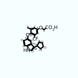 Cc1cc(OCC(=O)O)cc(C(F)(F)F)c1Oc1ccc2[nH]cc(C3CCCC3)c2c1